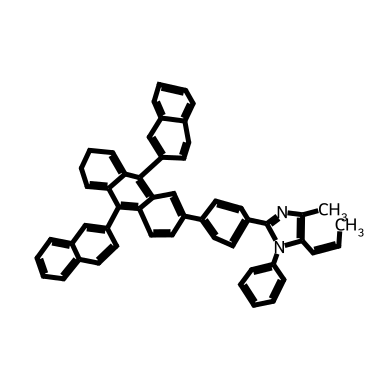 C/C=C\c1c(C)nc(-c2ccc(-c3ccc4c(-c5ccc6ccccc6c5)c5c(c(-c6ccc7ccccc7c6)c4c3)=CCCC=5)cc2)n1-c1ccccc1